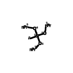 [CH][Si](OCCC)(OCCC)OCCC